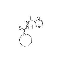 CC(=NNC(=S)N1CCCCCCCC1)c1ccccn1